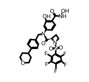 O=C(NO)c1ccc(N(Cc2ccc(C3CCOCC3)cc2)C(=O)[C@H]2CCN2S(=O)(=O)c2c(F)c(F)c(F)c(F)c2F)cc1O